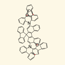 c1ccc(-c2ccccc2N(c2cc3c(c4ccccc24)-c2c(cc(N(c4ccccc4-c4ccccc4)c4cccc5c4oc4ccccc45)c4ccccc24)C32c3ccccc3-c3ccccc32)c2cccc3c2oc2ccccc23)cc1